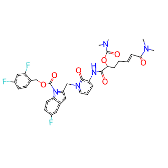 CN(C)C(=O)C=CCCC(OC(=O)N(C)C)C(=O)Nc1cccn(Cc2cc3cc(F)ccc3n2C(=O)OCc2ccc(F)cc2F)c1=O